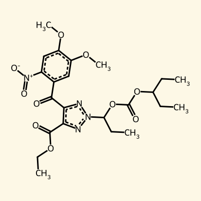 CCOC(=O)c1nn(C(CC)OC(=O)OC(CC)CC)nc1C(=O)c1cc(OC)c(OC)cc1[N+](=O)[O-]